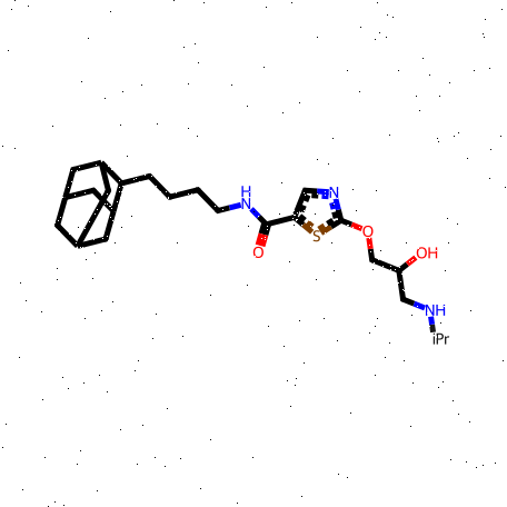 CC(C)NCC(O)COc1ncc(C(=O)NCCCCC2C3CC4CC(C3)CC2C4)s1